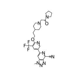 Cn1nnc2c(C#N)nc(-c3cnc(OCCC4CCN(CC(=O)N5CCCC5)CC4)c(C(F)(F)F)c3)cc21